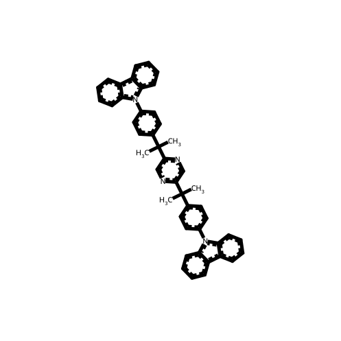 CC(C)(c1ccc(-n2c3ccccc3c3ccccc32)cc1)c1cnc(C(C)(C)c2ccc(-n3c4ccccc4c4ccccc43)cc2)cn1